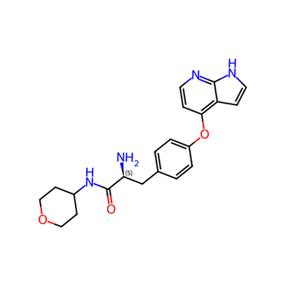 N[C@@H](Cc1ccc(Oc2ccnc3[nH]ccc23)cc1)C(=O)NC1CCOCC1